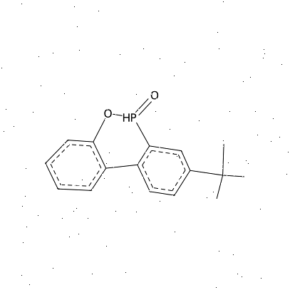 CC(C)(C)c1ccc2c(c1)[PH](=O)Oc1ccccc1-2